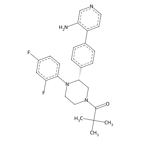 CC(C)(C)C(=O)N1CCN(c2ccc(F)cc2F)[C@H](c2ccc(-c3ccncc3N)cc2)C1